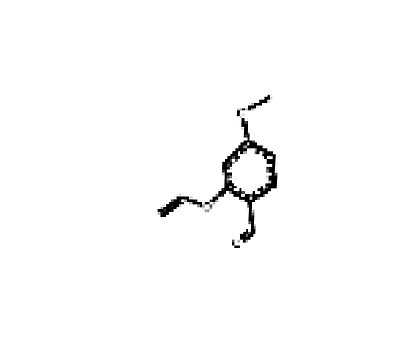 C=COc1cc(OC)ccc1C=O